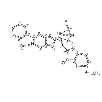 CCc1ccc2c(c1)C(=O)N(C[C@@]1(c3cc4cc(-c5ccccc5O)ncc4o3)NC(=O)NC1=O)C2